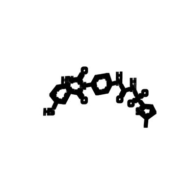 Cc1ccc(S(=O)(=O)NC(=O)Nc2ccc(-n3c(=O)[nH]c4ccc(S)cc4c3=O)cc2)s1